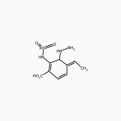 CC=C1C=CC(C(=O)O)=C(N[SH](=O)=O)C1NN